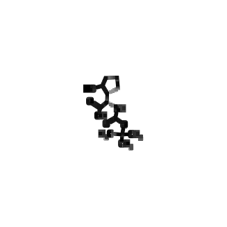 CC(C)(C)OC(=O)N[C@H](C(=O)O)[C@H]1CCCC1O